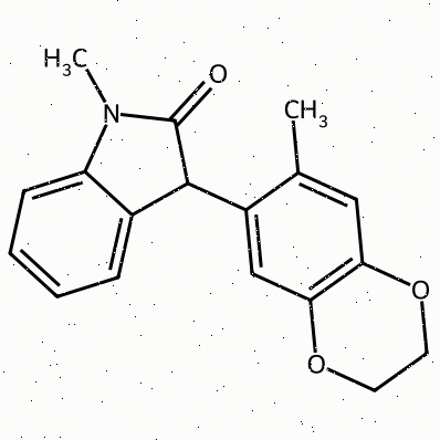 Cc1cc2c(cc1C1C(=O)N(C)c3ccccc31)OCCO2